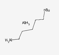 CCCCCCCC[CH2][AlH2].[AlH3]